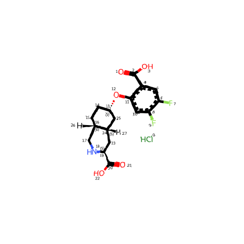 Cl.O=C(O)c1cc(F)c(F)cc1O[C@H]1CC[C@H]2CN[C@H](C(=O)O)C[C@H]2C1